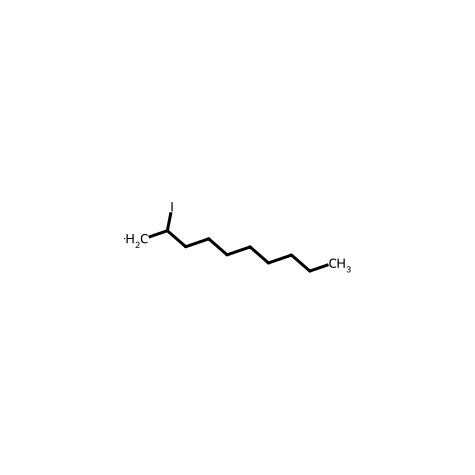 [CH2]C(I)CCCCCCCC